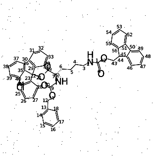 O=C(NCCCC[C@H](NC(=O)OCc1ccccc1)C(=O)OC(c1ccccc1)(c1ccccc1)c1ccccc1Cl)OCC1c2ccccc2-c2ccccc21